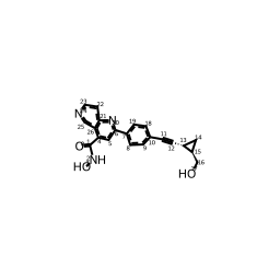 O=C(NO)c1cc(-c2ccc(C#C[C@@H]3C[C@H]3CO)cc2)nc2ccncc12